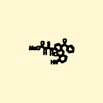 COC(=O)NC(=S)Nc1ccc(C(=O)c2ccccc2)c(CC2=C(Cl)C(=N)CC=C2)c1